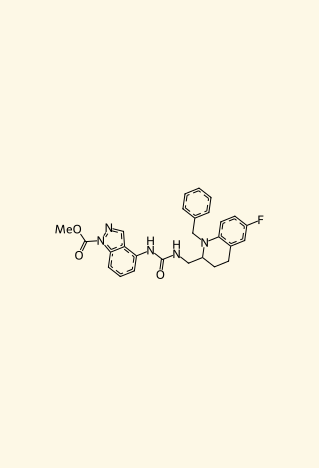 COC(=O)n1ncc2c(NC(=O)NCC3CCc4cc(F)ccc4N3Cc3ccccc3)cccc21